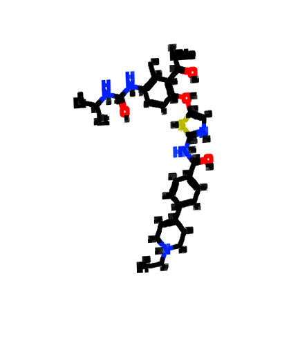 CCC(CC)NC(=O)Nc1ccc(Oc2cnc(NC(=O)c3ccc(C4=CCN(CC(C)C)CC4)cc3)s2)c(C(=O)NC)c1C